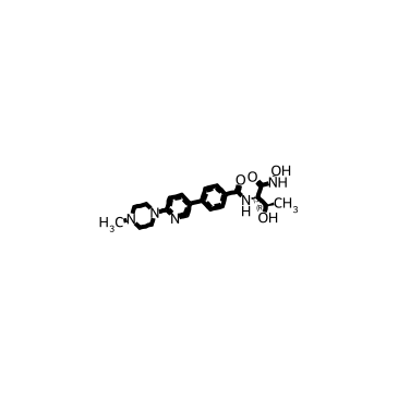 C[C@@H](O)[C@H](NC(=O)c1ccc(-c2ccc(N3CCN(C)CC3)nc2)cc1)C(=O)NO